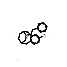 Oc1ccc2c(c1)CC1CCC(C2)CN1CCc1ccccc1